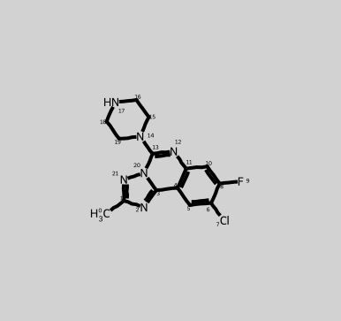 Cc1nc2c3cc(Cl)c(F)cc3nc(N3CCNCC3)n2n1